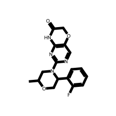 CC1CN(c2ncc3c(n2)NC(=O)CO3)C(c2ccccc2F)CO1